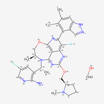 Cc1cc2[nH]ncc2c(-c2nc3c4c(nc(OC[C@H]5CCCN5C)nc4c2F)N([C@H](C)c2cc(F)cnc2N)[C@@H](C)CO3)c1C(F)(F)F.O=CO